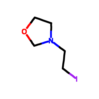 ICCN1CCOC1